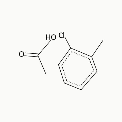 CC(=O)O.Cc1ccccc1Cl